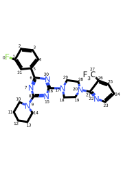 Fc1cccc(-c2nc(N3CCCCC3)nc(N3CCN(c4ncccc4C(F)(F)F)CC3)n2)c1